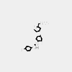 CNC(=O)c1cc(Oc2ccc(NC(=O)Nc3ccc(F)cc3)c(F)c2)ccn1